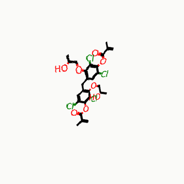 C=C(C)C(=O)Oc1c(Cl)cc(Cc2cc(Cl)c(OC(=O)C(=C)C)c(Cl)c2OCC(C)O)c(OCC(C)O)c1Cl